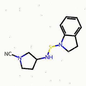 N#CN1CCC(NSN2CCc3ccccc32)C1